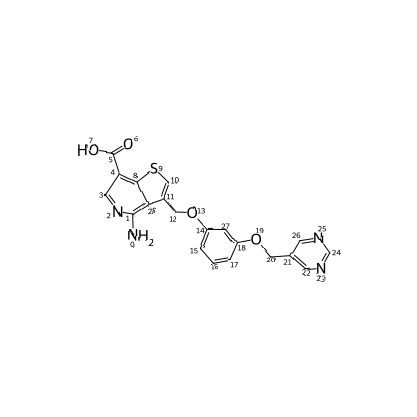 Nc1ncc(C(=O)O)c2scc(COc3cccc(OCc4cncnc4)c3)c12